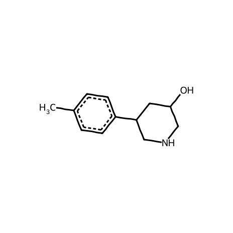 Cc1ccc(C2CNCC(O)C2)cc1